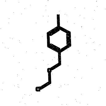 Cc1ccc(COCCl)cc1